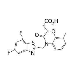 Cc1cccc2c1OC(CC(=O)O)C(=O)N2Cc1nc2cc(F)cc(F)c2s1